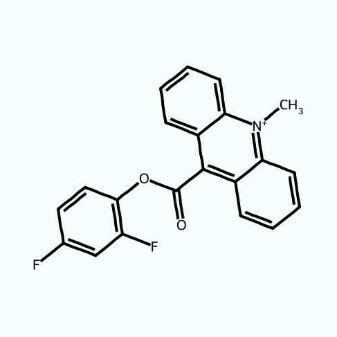 C[n+]1c2ccccc2c(C(=O)Oc2ccc(F)cc2F)c2ccccc21